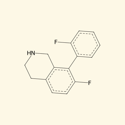 Fc1ccccc1-c1c(F)ccc2c1CNCC2